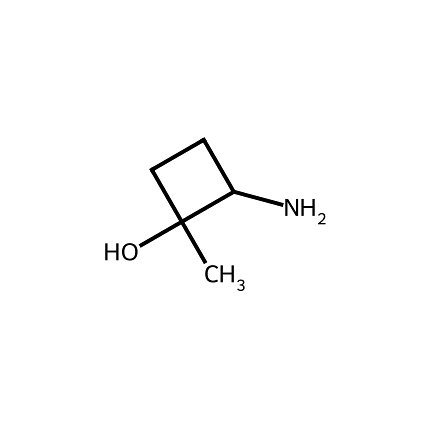 CC1(O)CCC1N